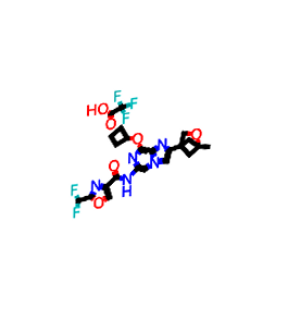 CC12CC(c3cn4cc(NC(=O)c5coc(C(F)F)n5)nc(OC5CCC5)c4n3)(CO1)C2.O=C(O)C(F)(F)F